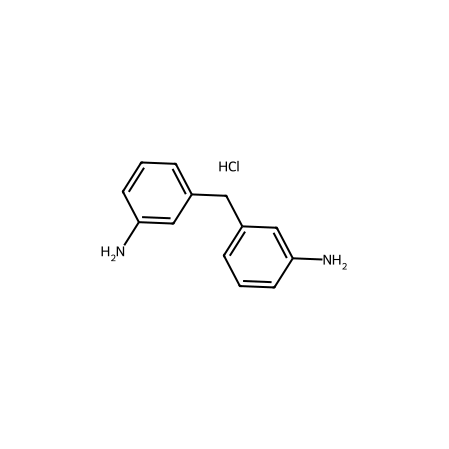 Cl.Nc1cccc(Cc2cccc(N)c2)c1